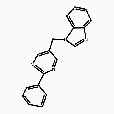 c1ccc(-c2ncc(Cn3cnc4ccccc43)cn2)cc1